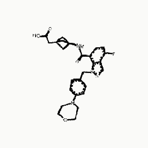 O=C(O)CC12CC(NC(=O)c3ccc(F)c4cnn(Cc5ccc(N6CCOCC6)cc5)c34)(C1)C2